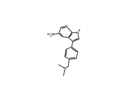 CN(C)Cc1ccc(-c2cn(C)c3ncc(N)cc23)cc1